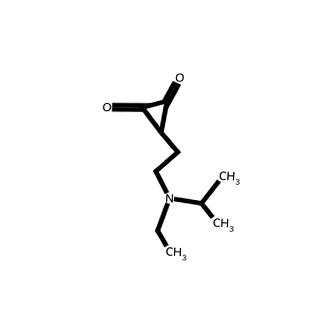 CCN(CC[C]1C(=O)C1=O)C(C)C